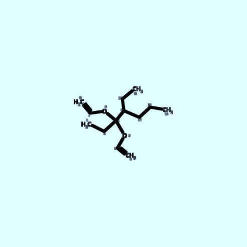 C=COC(CC)(OC=C)C(CC)CCC